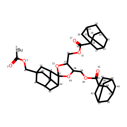 CC(C)(C)C(=O)OCC12CC3CC(C1)C1(OC(COC(=O)C45CC6CC(CC(C6)C4)C5)C(COC(=O)C45CC6CC(CC(C6)C4)C5)O1)C(C3)C2